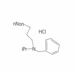 CCCCCCCCCCCCN(Cc1ccccc1)C(C)C.Cl